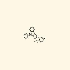 Cc1ccc2c(c1)-c1cc3c4ccccc4n(-c4ccccc4)c3cc1C2(C)C